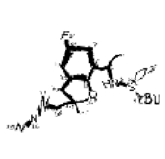 CC(N[S@+]([O-])C(C)(C)C)c1cc(F)cc2c1O[C@](C)(CN=[N+]=[N-])C2